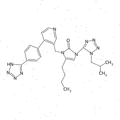 CCCCc1cn(-c2nnnn2CC(C)C)c(=O)n1Cc1cnccc1-c1ccc(-c2nnn[nH]2)cc1